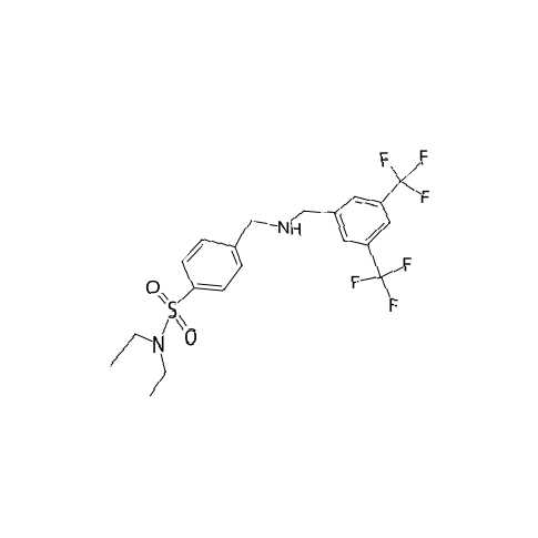 CCN(CC)S(=O)(=O)c1ccc(CNCc2cc(C(F)(F)F)cc(C(F)(F)F)c2)cc1